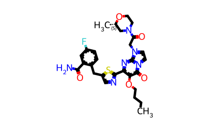 CCCCOc1c(-c2ncc(Cc3ccc(F)cc3C(N)=O)s2)nc2n(CC(=O)N3CCO[C@@H](C)C3)ccn2c1=O